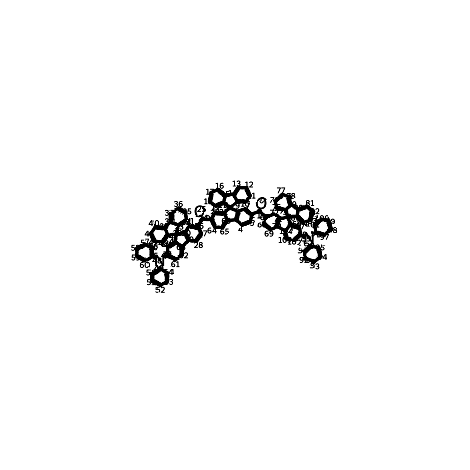 O=C(c1ccc2c(c1)C1(c3ccccc3-c3ccccc31)c1cc(C(=O)c3ccc4c(c3)C3(c5ccccc5-c5ccccc53)c3cc(N(c5ccccc5)c5ccccc5)ccc3-4)ccc1-2)c1ccc2c(c1)C1(c3ccccc3-c3ccccc31)c1cc(N(c3ccccc3)c3ccccc3)ccc1-2